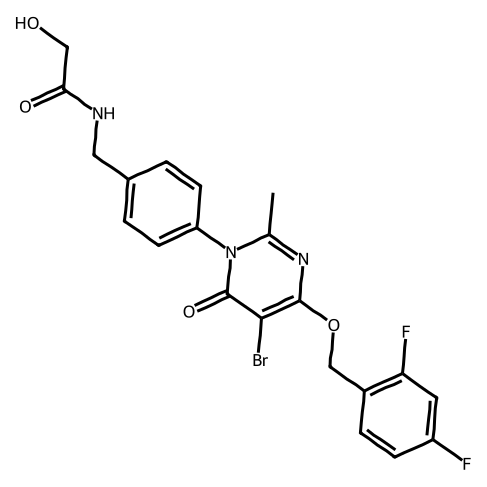 Cc1nc(OCc2ccc(F)cc2F)c(Br)c(=O)n1-c1ccc(CNC(=O)CO)cc1